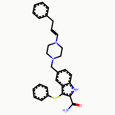 NC(=O)c1[nH]c2ccc(CN3CCN(/C=C/Cc4ccccc4)CC3)cc2c1Sc1ccccc1